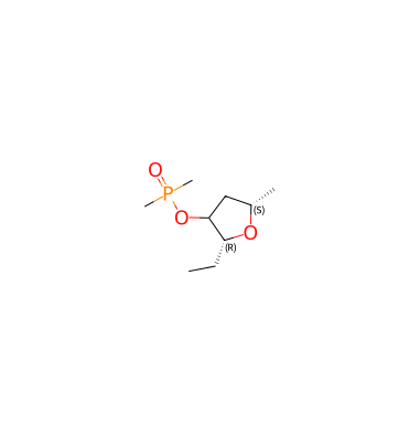 CC[C@H]1O[C@@H](C)CC1OP(C)(C)=O